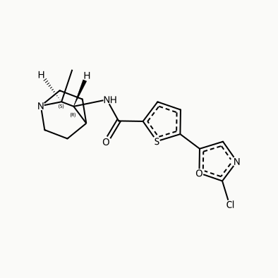 C[C@H]1[C@H](NC(=O)c2ccc(-c3cnc(Cl)o3)s2)C2CCN1CC2